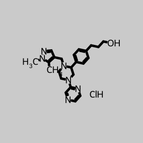 Cc1c(CN2CCN(c3cnccn3)CC2c2ccc(CCCO)cc2)cnn1C.Cl